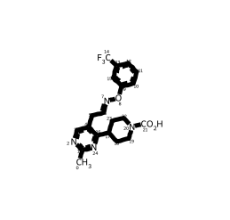 Cc1ncc(CC=NOc2cccc(C(F)(F)F)c2)c(C2CCN(C(=O)O)CC2)n1